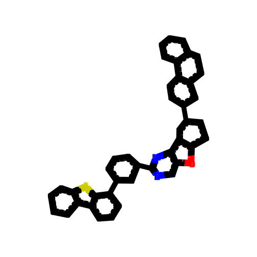 c1cc(-c2ncc3oc4ccc(-c5ccc6c(ccc7ccccc76)c5)cc4c3n2)cc(-c2cccc3c2sc2ccccc23)c1